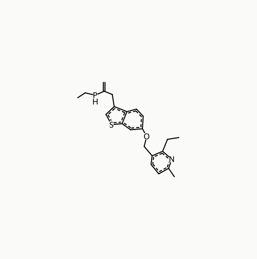 C=C(Cc1csc2cc(OCc3ccc(C)nc3CC)ccc12)PCC